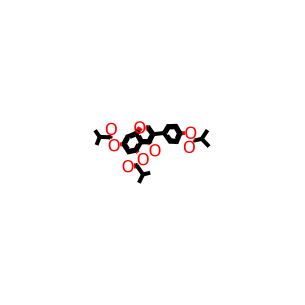 CC(C)C(=O)Oc1ccc(-c2coc3cc(OC(=O)C(C)C)cc(OC(=O)C(C)C)c3c2=O)cc1